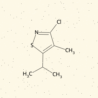 Cc1c(Cl)nsc1C(C)C